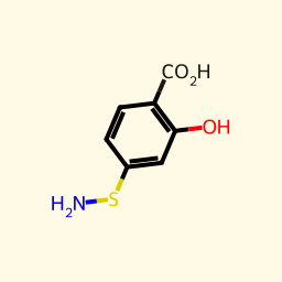 NSc1ccc(C(=O)O)c(O)c1